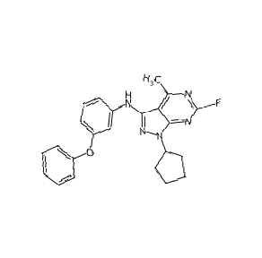 Cc1nc(F)nc2c1c(Nc1cccc(Oc3ccccc3)c1)nn2C1CCCC1